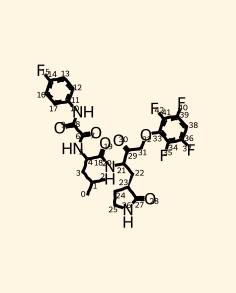 CC(C)CC(NC(=O)C(=O)Nc1ccc(F)cc1)C(=O)NC(C[C@@H]1CCNC1=O)C(=O)COc1c(F)c(F)cc(F)c1F